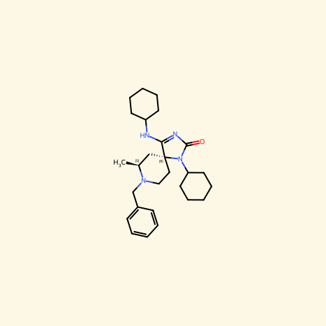 C[C@H]1C[C@]2(CCN1Cc1ccccc1)C(NC1CCCCC1)=NC(=O)N2C1CCCCC1